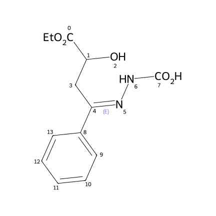 CCOC(=O)C(O)C/C(=N\NC(=O)O)c1ccccc1